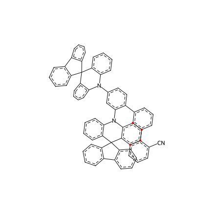 N#Cc1ccccc1-c1cccc(-c2ccc(N3c4ccccc4C4(c5ccccc5-c5ccccc54)c4ccccc43)cc2N2c3ccccc3C3(c4ccccc4-c4ccccc43)c3ccccc32)c1